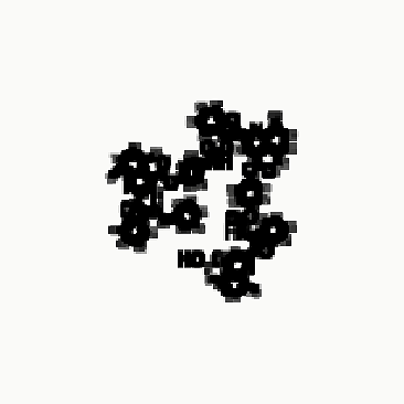 Cc1ccc(C)c2c(C(=O)O)cc(-c3oc4ccccc4c3NC(=O)Oc3ccc(OC(=O)c4cc(-c5oc6ccccc6c5OC(=O)Nc5ccc(OC(=O)c6cc(-c7oc8ccccc8c7NCc7ccccc7)nc7c(C)ccc(C)c67)cc5)nc5c(C)ccc(C)c45)cc3)nc12